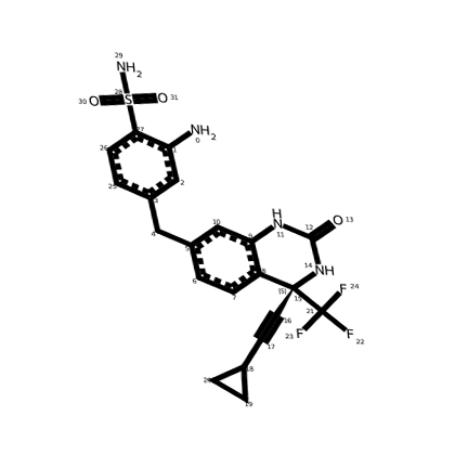 Nc1cc(Cc2ccc3c(c2)NC(=O)N[C@]3(C#CC2CC2)C(F)(F)F)ccc1S(N)(=O)=O